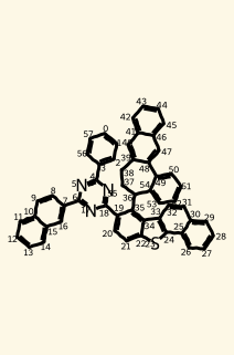 c1ccc(-c2nc(-c3ccc4ccccc4c3)nc(-c3ccc4sc5c6ccccc6ccc5c4c3C3CCc4cc5ccccc5cc4-c4ccccc43)n2)cc1